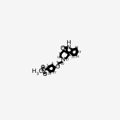 CS(=O)(=O)c1ccc(OCCN2CCCC3(CC2)C(=O)Nc2ccccc23)cc1